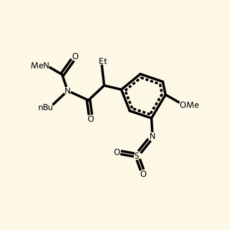 CCCCN(C(=O)NC)C(=O)C(CC)c1ccc(OC)c(N=S(=O)=O)c1